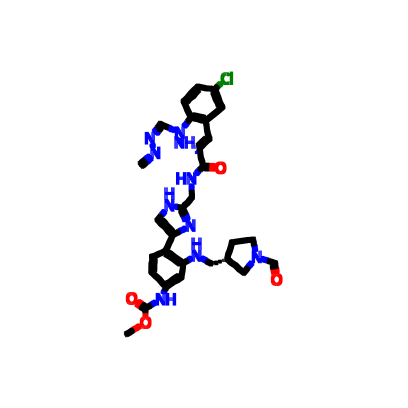 C=N/N=C\N(N)c1ccc(Cl)cc1/C=C/C(=O)NCc1nc(-c2ccc(NC(=O)OC)cc2NC[C@@H]2CCN(C=O)C2)c[nH]1